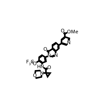 COC(=O)c1cncc(-c2ccc3c(=O)n(-c4ccc(OC(F)(F)F)c(NC(=O)C5(N6CCOCC6)CC5)c4)cnc3c2)c1